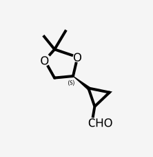 CC1(C)OC[C@H](C2CC2C=O)O1